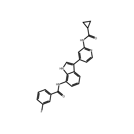 O=C(Nc1cccc2c(-c3ccnc(NC(=O)C4CC4)c3)c[nH]c12)c1cccc(F)c1